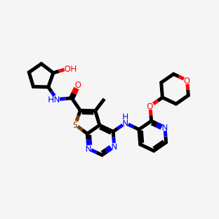 Cc1c(C(=O)NC2CCCC2O)sc2ncnc(Nc3cccnc3OC3CCOCC3)c12